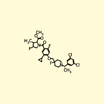 COC(=O)C1C(C)C(F)CN1C(=O)c1cc(C2CC2)c(OCC2(F)CCN([C@@H](C)c3cc(Cl)cc(Cl)c3)CC2)cc1F